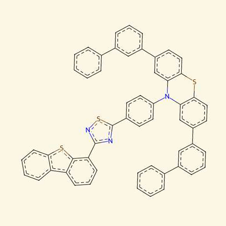 c1ccc(-c2cccc(-c3ccc4c(c3)N(c3ccc(-c5nc(-c6cccc7c6sc6ccccc67)ns5)cc3)c3cc(-c5cccc(-c6ccccc6)c5)ccc3S4)c2)cc1